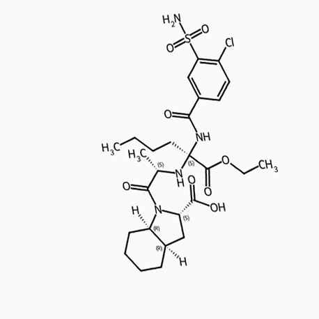 CCCC[C@@](NC(=O)c1ccc(Cl)c(S(N)(=O)=O)c1)(N[C@@H](C)C(=O)N1[C@@H]2CCCC[C@@H]2C[C@H]1C(=O)O)C(=O)OCC